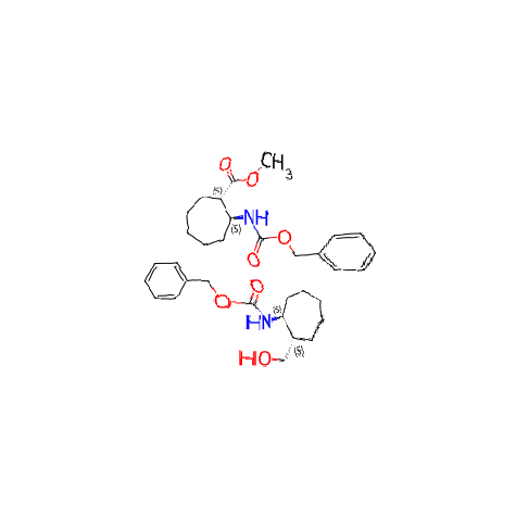 COC(=O)[C@H]1CCCCC[C@@H]1NC(=O)OCc1ccccc1.O=C(N[C@H]1CCCCC[C@@H]1CO)OCc1ccccc1